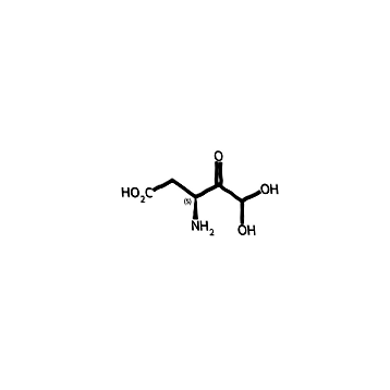 N[C@@H](CC(=O)O)C(=O)C(O)O